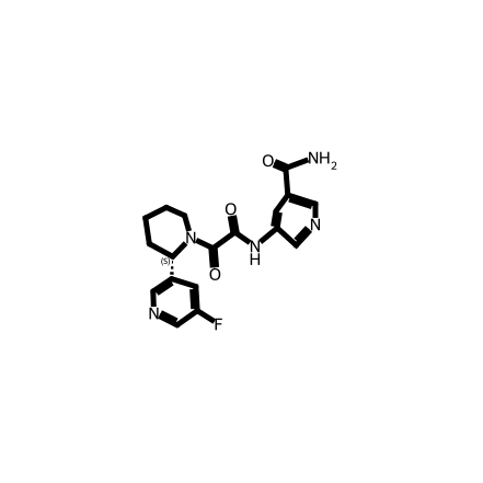 NC(=O)c1cncc(NC(=O)C(=O)N2CCCC[C@H]2c2cncc(F)c2)c1